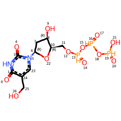 O=c1[nH]c(=O)n([C@H]2C[C@@H](O)[C@@H](CO[PH](=O)O[PH](=O)O[PH](=O)O)O2)cc1CO